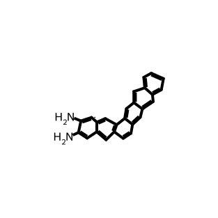 Nc1[c]c2cc3c(ccc4cc5cc6ccccc6cc5cc43)cc2cc1N